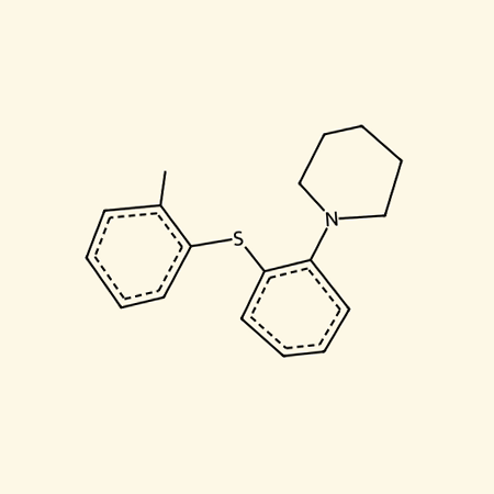 Cc1ccccc1Sc1ccccc1N1CCCCC1